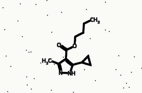 CCCCOC(=O)c1c(C)n[nH]c1C1CC1